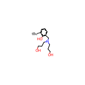 CC(C)(C)c1cccc(CN(CCCO)CCCO)c1O